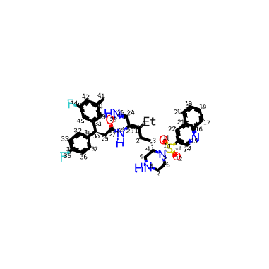 CC/C(CC[C@H]1CNCCN1S(=O)(=O)c1cnc2ccccc2c1)=C(\C=N)NC(=O)C[C@@H](c1ccc(F)cc1)c1cc(C)cc(F)c1